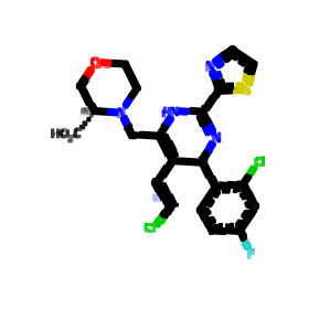 O=C(O)[C@@H]1COCCN1CC1=C(/C=C/Cl)C(c2ccc(F)cc2Cl)N=C(c2nccs2)N1